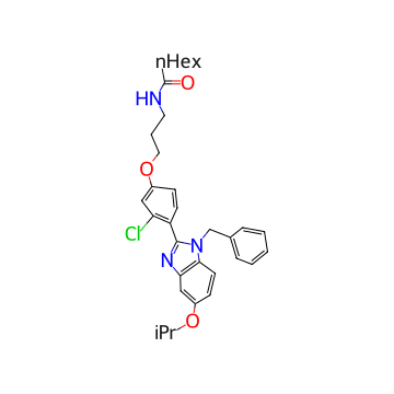 CCCCCCC(=O)NCCCOc1ccc(-c2nc3cc(OC(C)C)ccc3n2Cc2ccccc2)c(Cl)c1